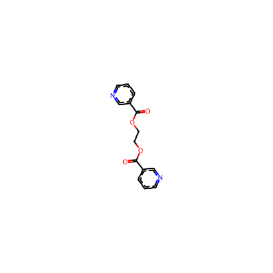 O=C(OCCOC(=O)c1cccnc1)c1cccnc1